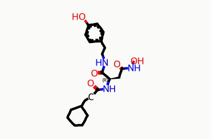 O=C(C[C@@H](NC(=O)CCC1CCCCC1)C(=O)NCCc1ccc(O)cc1)NO